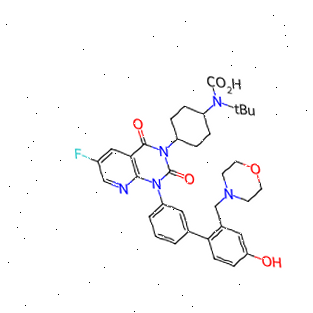 CC(C)(C)N(C(=O)O)C1CCC(n2c(=O)c3cc(F)cnc3n(-c3cccc(-c4ccc(O)cc4CN4CCOCC4)c3)c2=O)CC1